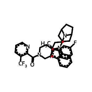 Cc1nc2ccccc2n1C1CC2CCC(C1)N2CCC1(c2cccc(F)c2)CCN(C(=O)c2ncccc2C(F)(F)F)CC1